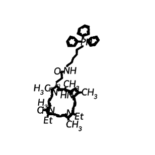 CCC1=C(C)c2cc3[nH]c(cc4nc(c(C)c5cc(C)c(cc1n2)[nH]5)[C@@H](CCC(=O)NCCCCCC[PH](c1ccccc1)(c1ccccc1)c1ccccc1)[C@@H]4C)c(C)c3CC